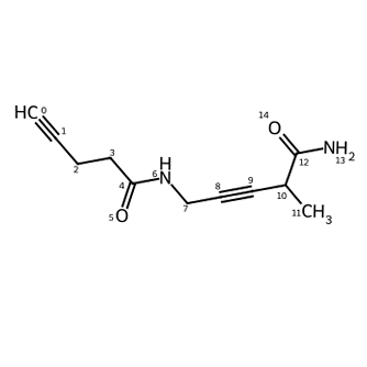 C#CCCC(=O)NCC#CC(C)C(N)=O